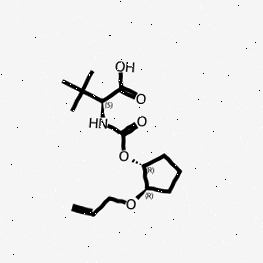 C=CCO[C@@H]1CCC[C@H]1OC(=O)N[C@H](C(=O)O)C(C)(C)C